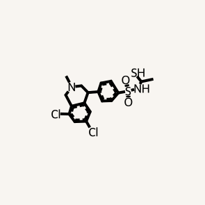 CC(S)NS(=O)(=O)c1ccc(C2CN(C)Cc3c(Cl)cc(Cl)cc32)cc1